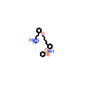 O=S(=O)(Nc1cccc(/C=C/CCCOc2ccccc2CCc2ncn[nH]2)c1)c1ccccc1